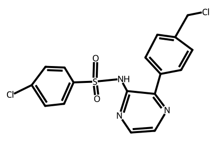 O=S(=O)(Nc1nccnc1-c1ccc(CCl)cc1)c1ccc(Cl)cc1